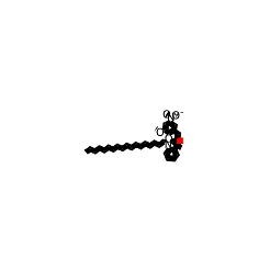 CCCCCCCCCCCCCCCCCCN1c2ccccc2C(C)(C)C12C=Cc1cc([N+](=O)[O-])cc(OC)c1O2